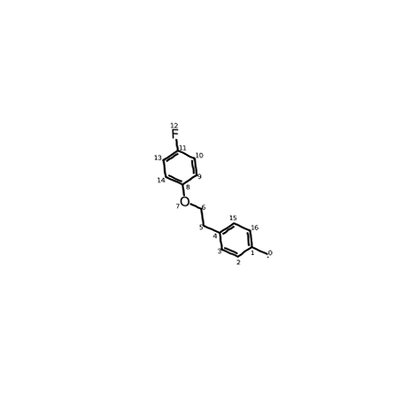 [CH2]c1ccc(CCOc2ccc(F)cc2)cc1